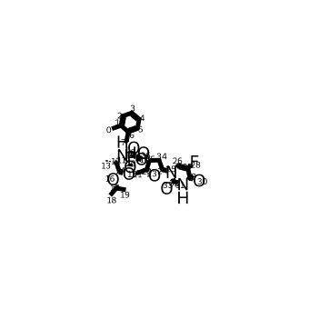 Cc1ccccc1COP(=O)(N[C@@H](C)C(=O)OC(C)C)OCC1OC(n2cc(F)c(=O)[nH]c2=O)CC1O